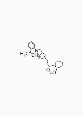 CC(C)c1ccccc1N1CC2CN(CCC3CC4(CCCCC4)COCO3)CC2C1